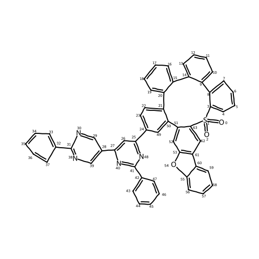 O=S1(=O)c2ccccc2-c2ccccc2-c2ccccc2-c2ccc(-c3cc(-c4cnc(-c5ccccc5)nc4)nc(-c4ccccc4)n3)cc2-c2cc3oc4ccccc4c3cc21